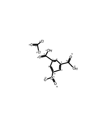 O=C(Cl)Cl.O=C(O)c1cc(C(=O)O)cc([N+](=O)[O-])c1